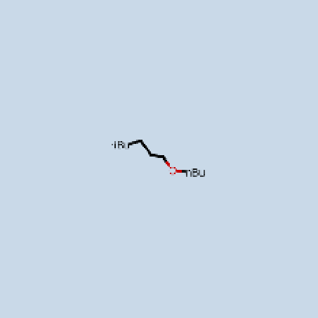 CCCCOCCC[C](C)CC